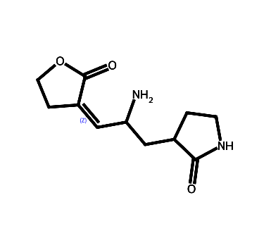 NC(/C=C1/CCOC1=O)CC1CCNC1=O